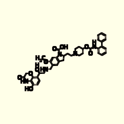 COc1cc2c(cc1CNC[C@H](O)c1ccc(O)c3c1OCC(=O)N3)CC(CCN1CCC(OC(=O)Nc3ccccc3-c3ccccc3)CC1)N2C(=O)O